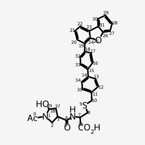 CC(=O)N1CC(C(=O)NC(CSCc2ccc(-c3ccc(-c4cccc5c4oc4ccccc45)cc3)cc2)C(=O)O)CC1O